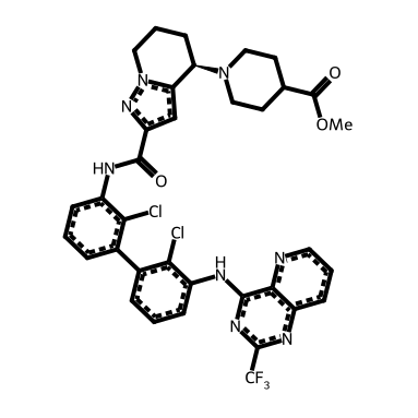 COC(=O)C1CCN([C@@H]2CCCn3nc(C(=O)Nc4cccc(-c5cccc(Nc6nc(C(F)(F)F)nc7cccnc67)c5Cl)c4Cl)cc32)CC1